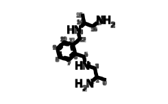 CC(N)CNCc1ccccc1CNC(C)CN